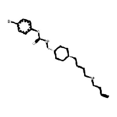 C=CCCNCCCC[C@H]1CC[C@H](CNC(=O)Oc2ccc(Br)cc2)CC1